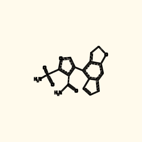 NC(=O)c1c(-c2c3c(cc4c2=CCO4)=CC=C3)coc1S(N)(=O)=O